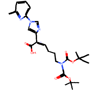 Cc1cccc(-n2cnc(/C(=C/CCCN(C(=O)OC(C)(C)C)C(=O)OC(C)(C)C)C(=O)O)c2)n1